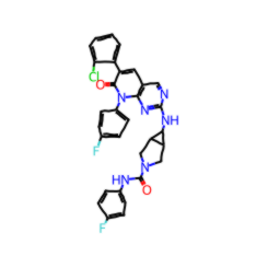 O=C(Nc1ccc(F)cc1)N1CC2C(C1)C2Nc1ncc2cc(-c3ccccc3Cl)c(=O)n(-c3ccc(F)cc3)c2n1